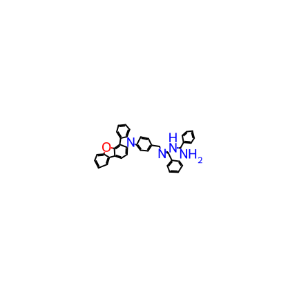 NC(N/C(=N\Cc1ccc(-n2c3ccccc3c3c4oc5ccccc5c4ccc32)cc1)c1ccccc1)c1ccccc1